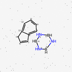 B1NBNBN1.C1=Cc2ccccc2C1